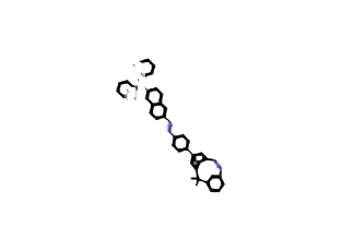 Cc1c2cc(-c3ccc(/C=C/c4ccc5cc(N(c6ccccn6)c6ccccn6)ccc5c4)cc3)cc1C(C)(C)c1cccc(c1)/C=C\2